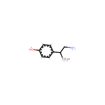 NCC(C(=O)O)c1ccc(O)cc1